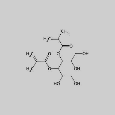 C=C(C)C(=O)OC(C(O)CO)C(OC(=O)C(=C)C)C(O)CO